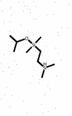 CC(C)O[Si](C)(C)CC[SiH](C)C